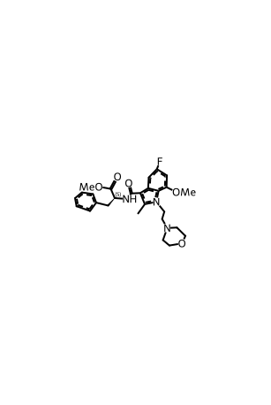 COC(=O)[C@H](Cc1ccccc1)NC(=O)c1c(C)n(CCN2CCOCC2)c2c(OC)cc(F)cc12